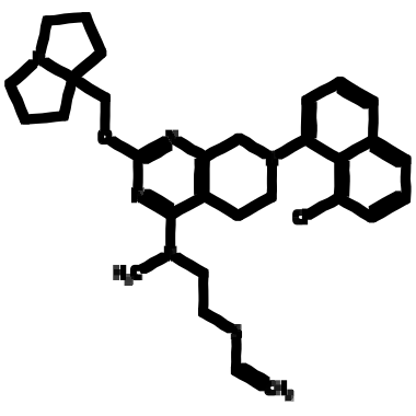 C=CSCCN(C)c1nc(OCC23CCCN2CCC3)nc2c1CCN(c1cccc3cccc(Cl)c13)C2